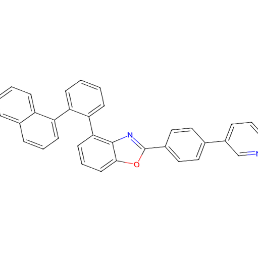 c1cncc(-c2ccc(-c3nc4c(-c5ccccc5-c5cccc6ccccc56)cccc4o3)cc2)c1